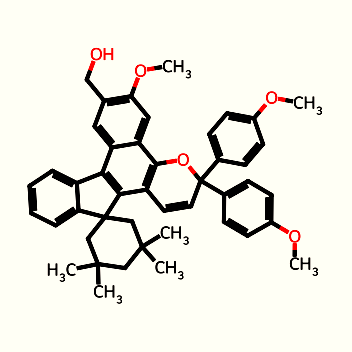 COc1ccc(C2(c3ccc(OC)cc3)C=Cc3c4c(c5cc(CO)c(OC)cc5c3O2)-c2ccccc2C42CC(C)(C)CC(C)(C)C2)cc1